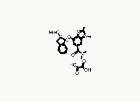 CO[C@@H]1Cc2ccccc2[C@H]1Oc1cc(C(=O)N(C)C)cc2c1nc(C)n2C.O=C(O)C(=O)O